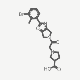 Cc1c(Br)cccc1-c1nc2c(o1)CN(C(=O)CN1CCC(C(=O)O)C1)C2